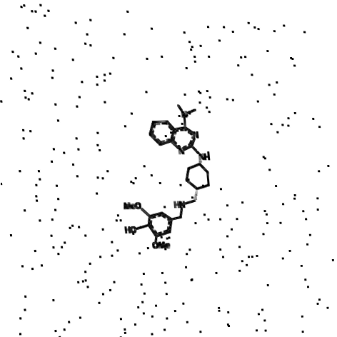 COc1cc(CNC[C@H]2CC[C@@H](Nc3nc(N(C)C)c4ccccc4n3)CC2)cc(OC)c1O